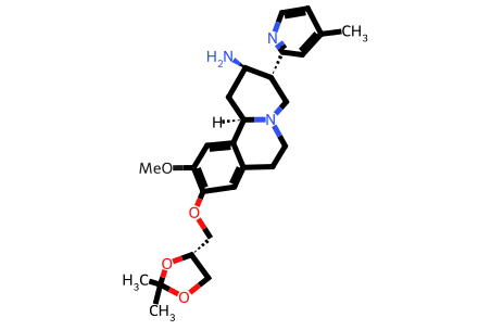 COc1cc2c(cc1OC[C@@H]1COC(C)(C)O1)CCN1C[C@@H](c3cc(C)ccn3)[C@H](N)C[C@H]21